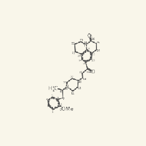 COc1ccccc1CC(C)N1CCC(CCC(=O)c2cc3c4c(c2)CCC(=O)N4CCC3)CC1